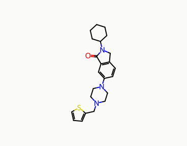 O=C1c2cc(N3CCN(Cc4cccs4)CC3)ccc2CN1C1CCCCC1